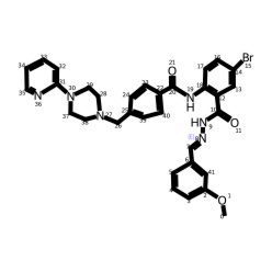 COc1cccc(/C=N/NC(=O)c2cc(Br)ccc2NC(=O)c2ccc(CN3CCN(c4ccccn4)CC3)cc2)c1